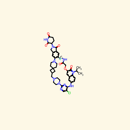 CNC(=O)COc1cc2cc(Nc3nc(N4CCN(CC5CC6(CCN(c7cc8c(cc7F)C(=O)N(C7CCC(=O)NC7=O)C8)CC6)C5)CC4)ncc3Cl)ccc2n(C(C)C)c1=O